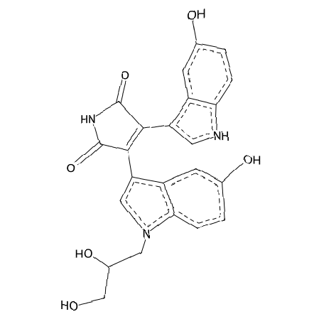 O=C1NC(=O)C(c2cn(CC(O)CO)c3ccc(O)cc23)=C1c1c[nH]c2ccc(O)cc12